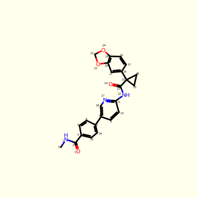 CNC(=O)c1ccc(-c2ccc(NC(=O)C3(c4ccc5c(c4)OCO5)CC3)nc2)cc1